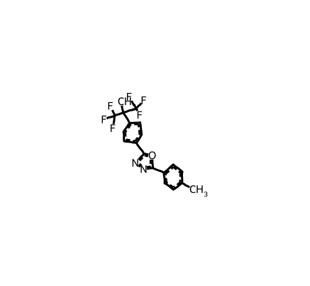 Cc1ccc(-c2nnc(-c3ccc(C(C)(C(F)(F)F)C(F)(F)F)cc3)o2)cc1